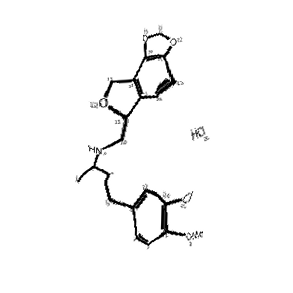 COc1ccc(CCC(C)NCC2OCc3c2ccc2c3OCO2)cc1Cl.Cl